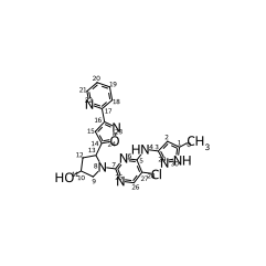 Cc1cc(Nc2nc(N3CC(O)CC3c3cc(-c4ccccn4)no3)ncc2Cl)n[nH]1